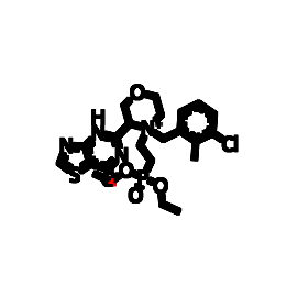 CCOP(=O)(CC[N+]1(Cc2cccc(Cl)c2C)CCOCC1c1nc(=O)c2scnc2[nH]1)OCC